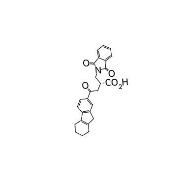 O=C(C[C@H](CN1C(=O)c2ccccc2C1=O)C(=O)O)c1ccc2c(c1)CC1=C2CCCC1